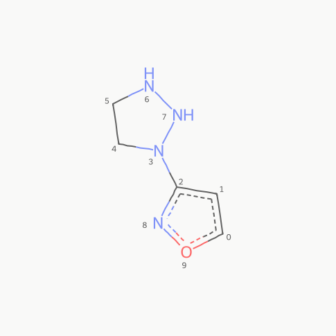 c1cc(N2CCNN2)no1